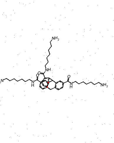 NCCCCCCCNC(=O)c1ccc2c(c1)C13c4cc(C(=O)NCCCCCCCN)ccc4C2c2ccc(C(=O)NCCCCCCCN)c1c23